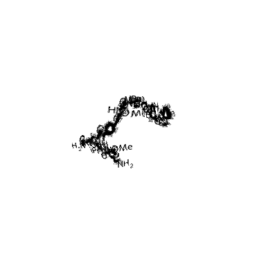 CC[C@H](C)[C@@H]([C@@H](CC(=O)N1CCC[C@H]1[C@H](OC)[C@@H](C)C(=O)N[C@@H](Cc1ccccc1)c1nccs1)OC)N(C)C(=O)[C@@H](NC(=O)C(C)(C)NC(=O)OCc1ccc(NC(=O)[C@H](CCCNC(N)=O)NC(=O)[C@@H](NC(=O)[C@H](CCCCN)NC(=O)OC)C(C)C)cc1)C(C)C